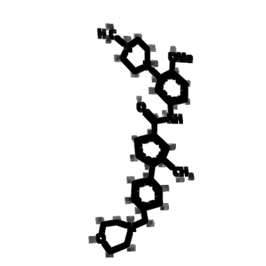 COc1ccc(NC(=O)c2ccc(-c3ccc(CN4CCOCC4)cc3)c(C)c2)cc1N1CCN(C)CC1